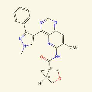 COc1cc2ncnc(-c3cn(C)nc3-c3ccccc3)c2nc1NC(=O)[C@]12COC[C@H]1C2